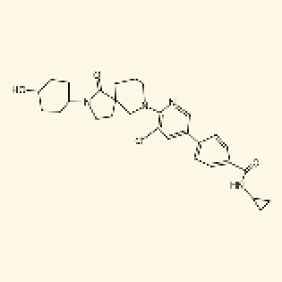 O=C(NC1CC1)c1ccc(-c2cnc(N3CCCC4(CCN(C5CCC(O)CC5)C4=O)C3)c(Cl)c2)cc1